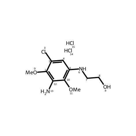 COc1c(Cl)cc(NCCO)c(OC)c1N.Cl.Cl